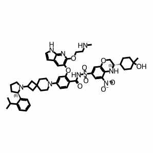 CNCCOc1nc2[nH]ccc2cc1Oc1cc(N2CCC3(CC2)CC(N2CCC[C@@H]2c2ccccc2C(C)C)C3)ccc1C(=O)NS(=O)(=O)c1cc2c(c([N+](=O)[O-])c1)N[C@@H](C1CCC(C)(O)CC1)CO2